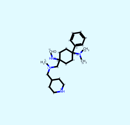 CN(CC1CCNCC1)CC1(NC=O)CCC(c2ccccc2)(N(C)C)CC1